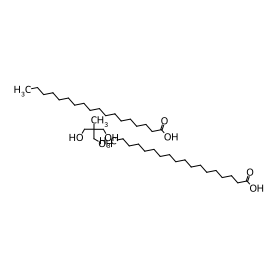 CC(CO)(CO)CO.CCCCCCCCCCCCCCCCCC(=O)O.CCCCCCCCCCCCCCCCCC(=O)O